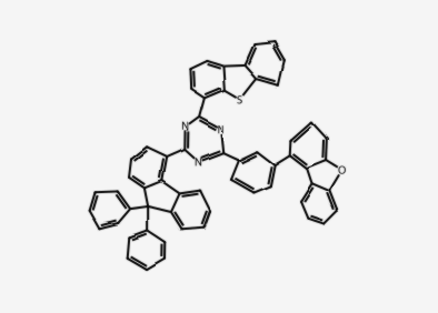 c1ccc(C2(c3ccccc3)c3ccccc3-c3c(-c4nc(-c5cccc(-c6cccc7oc8ccccc8c67)c5)nc(-c5cccc6c5sc5ccccc56)n4)cccc32)cc1